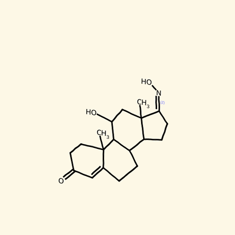 CC12CCC(=O)C=C1CCC1C2C(O)CC2(C)/C(=N\O)CCC12